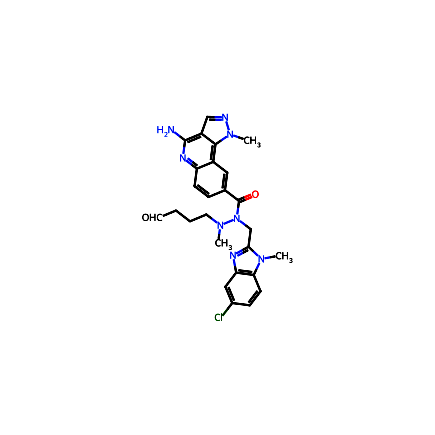 CN(CCCC=O)N(Cc1nc2cc(Cl)ccc2n1C)C(=O)c1ccc2nc(N)c3cnn(C)c3c2c1